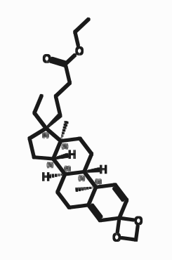 CCOC(=O)CCC[C@]1(CC)CC[C@H]2[C@@H]3CCC4=CC5(C=C[C@]4(C)[C@H]3CC[C@@]21C)OCO5